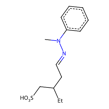 [CH2]CC(CC=NN(C)c1ccccc1)CS(=O)(=O)O